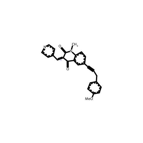 COc1ccc(CC#Cc2ccc3c(c2)C(=O)/C(=C/c2ccncc2)C(=O)N3C)cc1